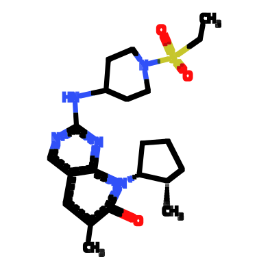 CCS(=O)(=O)N1CCC(Nc2ncc3cc(C)c(=O)n([C@@H]4CCC[C@@H]4C)c3n2)CC1